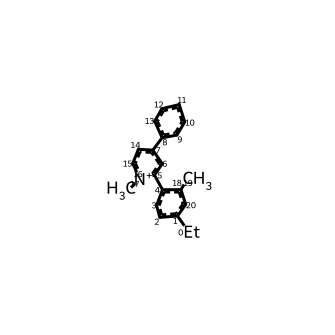 CCc1ccc(-c2cc(-c3ccccc3)cc[n+]2C)c(C)c1